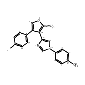 Fc1ccc(-c2noc(C(F)(F)F)c2-c2cn(-c3ccc(C(F)(F)F)cc3)cn2)cc1